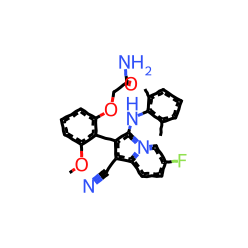 COc1cccc(OCC(N)=O)c1-c1c(C#N)c2ccc(F)cn2c1Nc1c(C)cccc1C